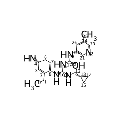 CCC1=CC(=N)CC=C1NC(NC=C1CC1)NC(O)Nc1cncc(C)c1